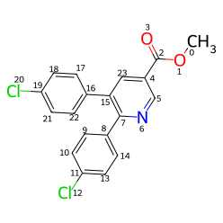 COC(=O)c1cnc(-c2ccc(Cl)cc2)c(-c2ccc(Cl)cc2)c1